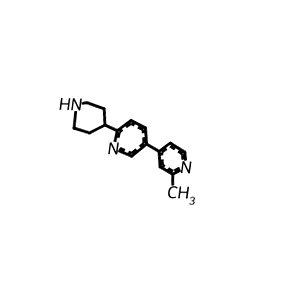 Cc1cc(-c2ccc(C3CCNCC3)nc2)ccn1